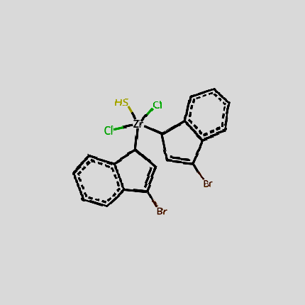 [SH][Zr]([Cl])([Cl])([CH]1C=C(Br)c2ccccc21)[CH]1C=C(Br)c2ccccc21